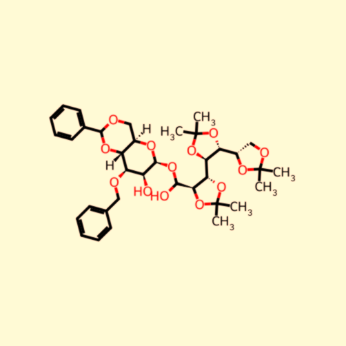 CC1(C)O[C@H]([C@@H]2OC(C)(C)O[C@H]2C(O)O[C@@H]2O[C@@H]3COC(c4ccccc4)O[C@H]3[C@H](OCc3ccccc3)[C@@H]2O)[C@@H]([C@@H]2COC(C)(C)O2)O1